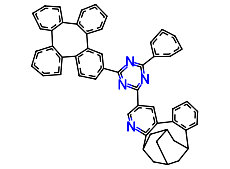 c1ccc(-c2nc(-c3ccc4c(c3)-c3ccccc3-c3ccccc3-c3ccccc3-4)nc(-c3cnc4c(c3)-c3ccccc3C3CC5CC(C3)CC4C5)n2)cc1